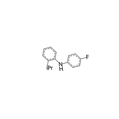 CC(C)c1ccccc1Nc1ccc(F)cc1